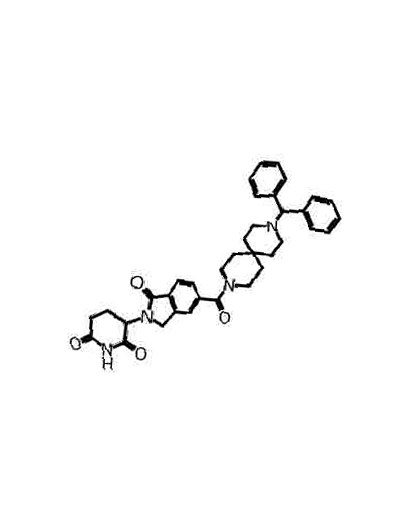 O=C1CCC(N2Cc3cc(C(=O)N4CCC5(CC4)CCN(C(c4ccccc4)c4ccccc4)CC5)ccc3C2=O)C(=O)N1